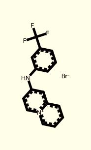 FC(F)(F)c1cccc(Nc2cc[n+]3ccccc3c2)c1.[Br-]